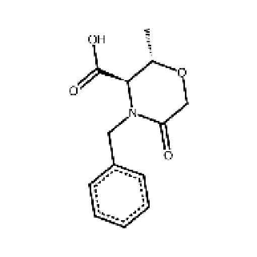 C[C@@H]1OCC(=O)N(Cc2ccccc2)[C@H]1C(=O)O